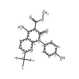 COC(=O)c1c(N)c2ccc(C(F)(F)F)nc2n(-c2ccc(O)nc2)c1=O